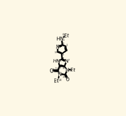 CCNc1ccc(-c2nc3c([nH]2)c(=O)n(CC)c(=O)n3CC)cn1